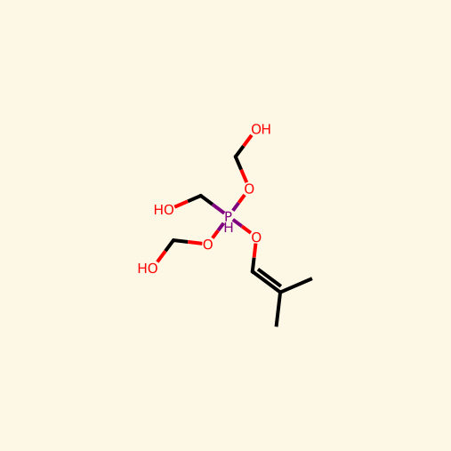 CC(C)=CO[PH](CO)(OCO)OCO